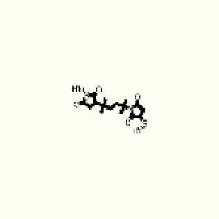 CC(C)SC1CC(=O)N(C(C)(C)CCC(C)(C)C2CC(=O)N(C(C)(C)C)C2=O)C1=O